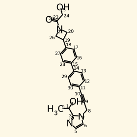 CC(O)c1nccn1CC#Cc1ccc(-c2ccc(C3CN(C(=O)CO)C3)cc2)cc1